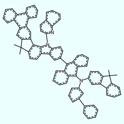 CC1(C)c2ccccc2-c2cc(N(c3cccc(-c4ccccc4)c3)c3c4ccccc4c(-c4ccc5c(c4)c4ccc6c(c4n5-c4ccc5ccccc5n4)-c4cc5c7ccccc7c7ccccc7c5cc4C6(C)C)c4ccccc34)ccc21